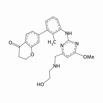 COc1cc(CNCCO)nc(Nc2cccc(-c3ccc4c(c3)OCCC4=O)c2C)n1